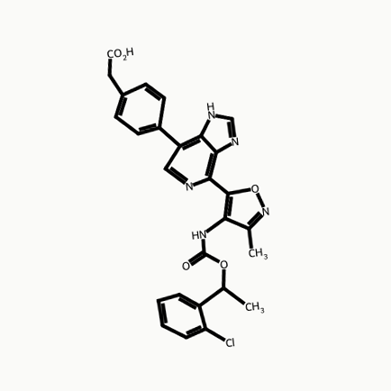 Cc1noc(-c2ncc(-c3ccc(CC(=O)O)cc3)c3[nH]cnc23)c1NC(=O)OC(C)c1ccccc1Cl